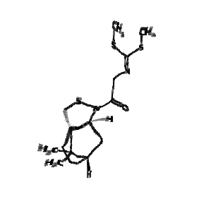 CSC(=NCC(=O)N1SC[C@]23CC[C@@H](C[C@H]12)C3(C)C)SC